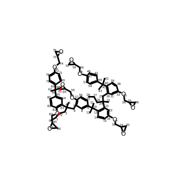 CCCCC(C)(Cc1cc(C(C)(C)c2ccc(OCC3CO3)cc2C(C)(CCC)Cc2cc(OCC3CO3)ccc2C(C)(C)c2ccc(OCC3CO3)cc2)ccc1OCC1CO1)c1cc(C(C)(C)c2ccc(OCC3CO3)cc2)ccc1OCC1CO1